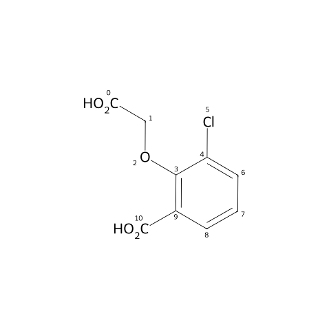 O=C(O)COc1c(Cl)cccc1C(=O)O